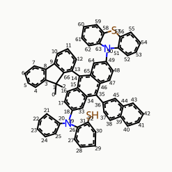 CC1(C)c2ccccc2-c2cccc(-c3c4ccc(N(c5ccccc5)c5ccccc5S)cc4c(-c4ccc5ccccc5c4)c4ccc(N5c6ccccc6Sc6ccccc65)cc34)c21